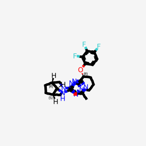 Cc1cc(N2C[C@H]3CC[C@@H](C2)[C@@H]3Nc2nc3n(n2)CCC[C@H]3Oc2ccc(F)c(F)c2F)ncn1